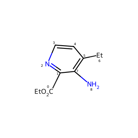 CCOC(=O)c1nccc(CC)c1N